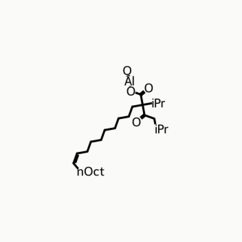 CCCCCCCC/C=C\CCCCCCCCC(C(=O)CC(C)C)(C(=O)[O][Al]=[O])C(C)C